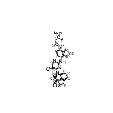 CN(C)C1CCN(c2ccc(Nc3ncc(Cl)c(Nc4cccc5c4N(S(C)(=O)=O)CC5)n3)c3c2CCO3)CC1